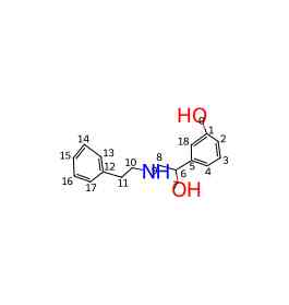 Oc1cccc(C(O)CNCCc2ccccc2)c1